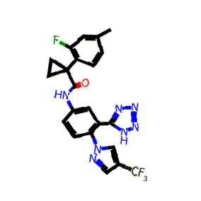 Cc1ccc(C2(C(=O)Nc3ccc(-n4cc(C(F)(F)F)cn4)c(-c4nnn[nH]4)c3)CC2)c(F)c1